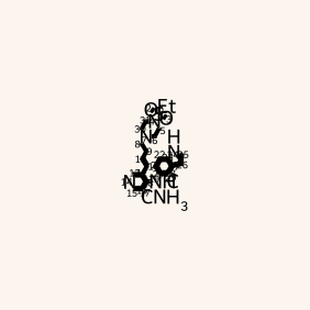 CCS(=O)(=O)N1CCN(CCC=Cc2cncc(C#N)c2Nc2ccc3[nH]ccc3c2C)CC1